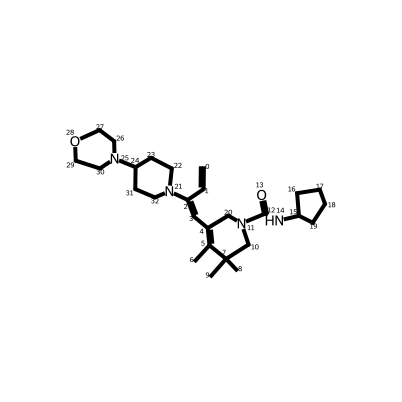 C=C/C(=C\C1=C(C)C(C)(C)CN(C(=O)NC2CCCC2)C1)N1CCC(N2CCOCC2)CC1